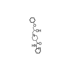 O=C(Nc1ccccn1)C1CCN(CC(O)COc2ccccc2)CC1